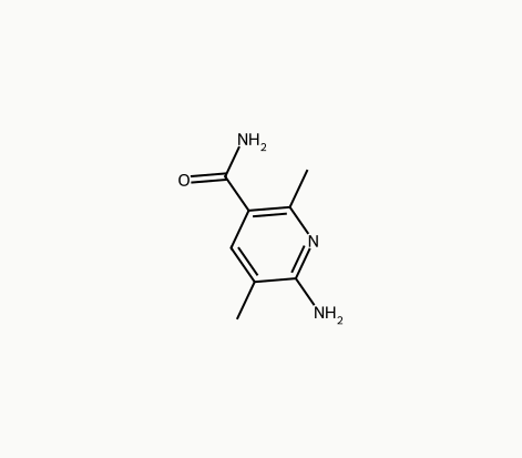 Cc1cc(C(N)=O)c(C)nc1N